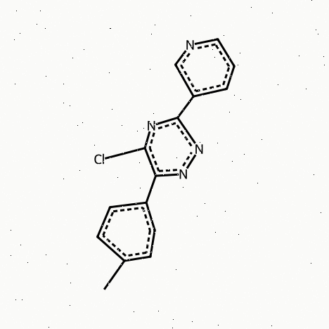 Cc1ccc(-c2nnc(-c3cccnc3)nc2Cl)cc1